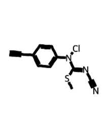 C#Cc1ccc(N(Cl)C(=NC#N)SC)cc1